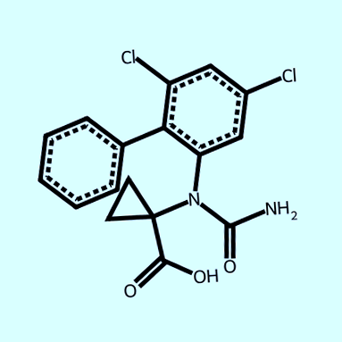 NC(=O)N(c1cc(Cl)cc(Cl)c1-c1ccccc1)C1(C(=O)O)CC1